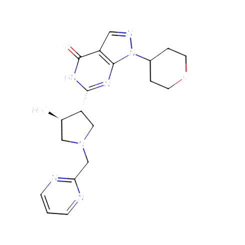 C[C@@H]1CN(Cc2ncccn2)C[C@H]1c1nc2c(cnn2C2CCOCC2)c(=O)[nH]1